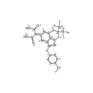 COc1ccc(Cn2nc3c4c(nc(N(C(=O)O)C(=O)O)nc42)SC(C(C)(C)C)(C(C)(C)C)C3)cc1